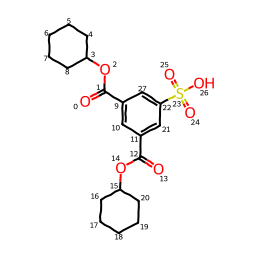 O=C(OC1CCCCC1)c1cc(C(=O)OC2CCCCC2)cc(S(=O)(=O)O)c1